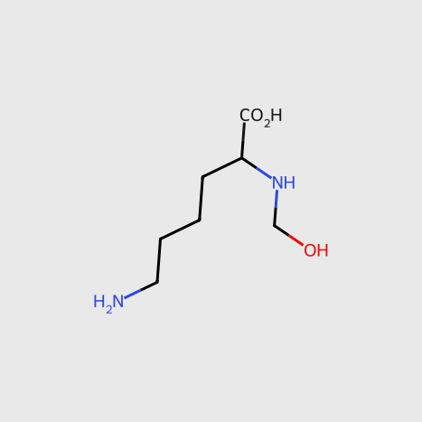 NCCCCC(NCO)C(=O)O